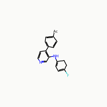 CC(=O)c1ccc(-c2ccncc2NC2=CC=C(F)CC2)cc1